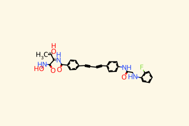 C[C@@H](O)[C@H](NC(=O)c1ccc(C#CC#Cc2ccc(NC(=O)CNc3ccccc3F)cc2)cc1)C(=O)NO